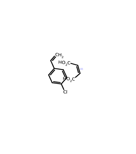 C=Cc1ccc(Cl)cc1.O=C(O)/C=C\C(=O)O